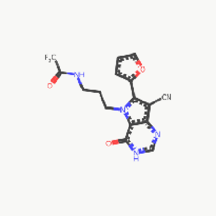 N#Cc1c(-c2ccco2)n(CCCNC(=O)C(F)(F)F)c2c(=O)[nH]cnc12